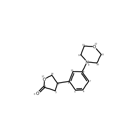 O=C1CC(c2cccc(N3CCOCC3)c2)CO1